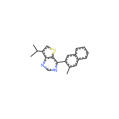 Cc1cc2ccccc2cc1-c1ncnc2c(C(C)C)csc12